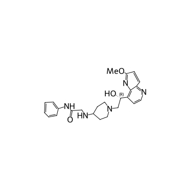 COc1ccc2nccc([C@@H](O)CN3CCC(NCC(=O)Nc4ccccc4)CC3)c2n1